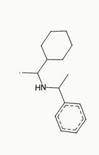 [CH2]C(NC(C)c1ccccc1)C1CCCCC1